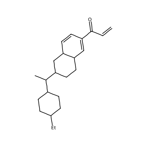 C=CC(=O)C1=CC2CCC(C(C)C3CCC(CC)CC3)CC2C=C1